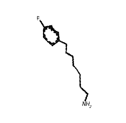 NCCCCCCCc1ccc(F)cc1